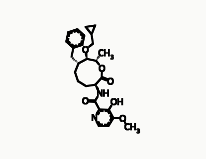 COc1ccnc(C(=O)N[C@H]2CCC[C@H](Cc3ccccc3)[C@@H](OCC3CC3)[C@H](C)OC2=O)c1O